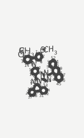 COc1ccc2c(c1)c1cc(OC)ccc1n2-c1ccc(-c2nc3c4ccccc4c4ccccc4c3n2-c2cnc(-c3c4ccccc4cc4ccccc34)nn2)cc1